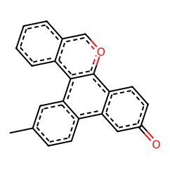 Cc1ccc2c3cc(=O)ccc3c3occ4ccccc4c3c2c1